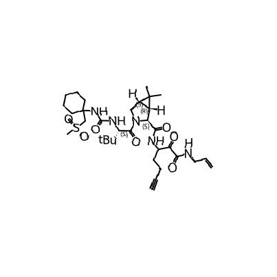 C#CCCC(NC(=O)[C@@H]1[C@@H]2[C@H](CN1C(=O)[C@@H](NC(=O)NC1(CS(C)(=O)=O)CCCCC1)C(C)(C)C)C2(C)C)C(=O)C(=O)NCC=C